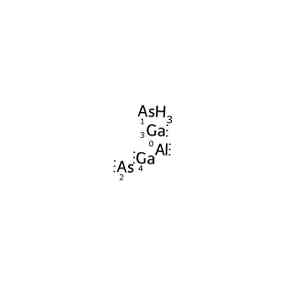 [Al].[AsH3].[As].[Ga].[Ga]